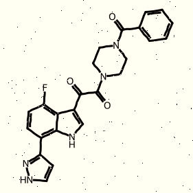 O=C(C(=O)N1CCN(C(=O)c2ccccc2)CC1)c1c[nH]c2c(-c3cc[nH]n3)ccc(F)c12